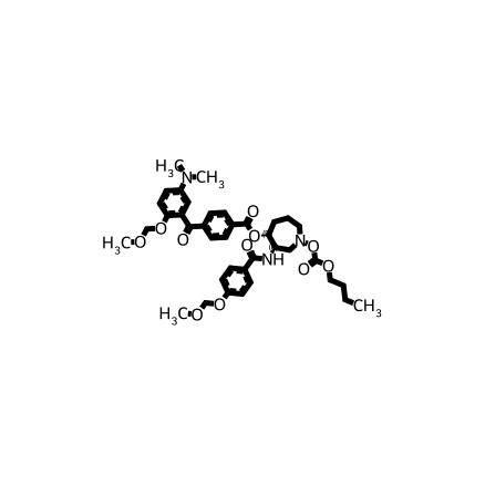 CCCCOC(=O)ON1CCC[C@@H](OC(=O)c2ccc(C(=O)c3cc(N(C)C)ccc3OCOC)cc2)[C@H](NC(=O)c2ccc(OCOC)cc2)C1